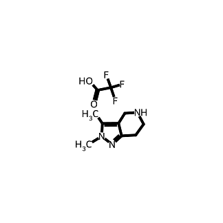 Cc1c2c(nn1C)CCNC2.O=C(O)C(F)(F)F